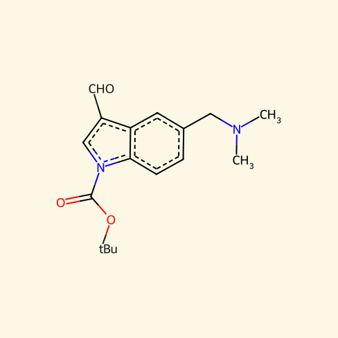 CN(C)Cc1ccc2c(c1)c(C=O)cn2C(=O)OC(C)(C)C